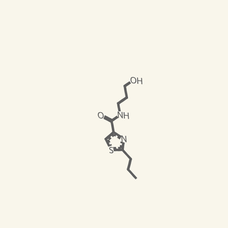 CCCc1nc(C(=O)NCCCO)cs1